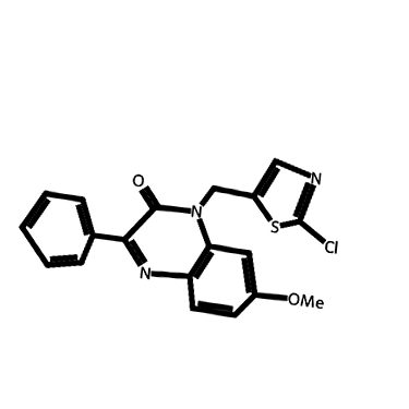 COc1ccc2nc(-c3ccccc3)c(=O)n(Cc3cnc(Cl)s3)c2c1